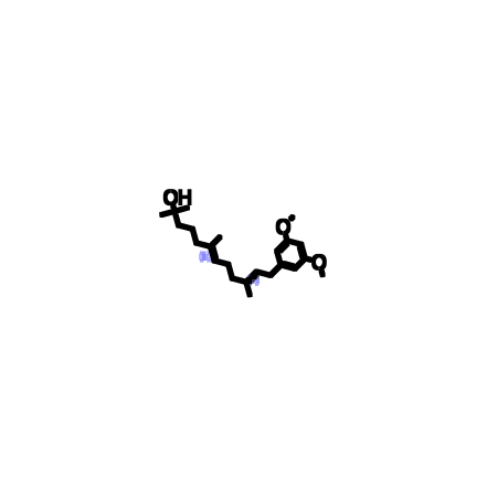 COc1cc(C/C=C(\C)CC/C=C(\C)CCCC(C)(C)O)cc(OC)c1